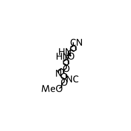 [C-]#[N+]c1cc2c(Oc3ccc(NC(=O)Nc4cccc(C#N)c4)cc3)ccnc2cc1OCCOC